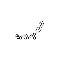 c1cnc2c(c1)ccc1ccc(-c3ccc4ccc5c(-c6ccc7c8ccc(-c9ccc%10ccc%11c(-c%12ccc%13ccc%14cccnc%14c%13n%12)ccc%12ccc9c%10c%12%11)cc8c8ccccc8c7c6)ccc6ccc3c4c65)nc12